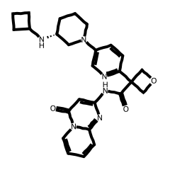 O=C(Nc1cc(=O)n2ccccc2n1)C1(c2ccc(N3CCC[C@@H](NC4CCC4)C3)cn2)COC1